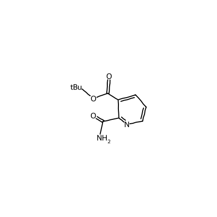 CC(C)(C)OC(=O)c1cccnc1C(N)=O